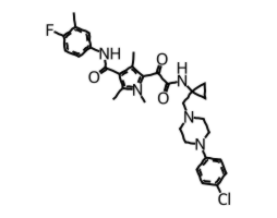 Cc1cc(NC(=O)c2c(C)c(C(=O)C(=O)NC3(CN4CCN(c5ccc(Cl)cc5)CC4)CC3)n(C)c2C)ccc1F